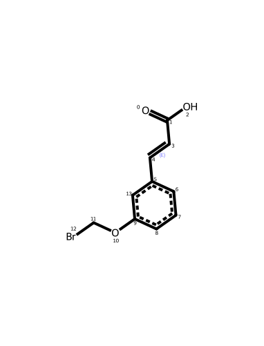 O=C(O)/C=C/c1cccc(OCBr)c1